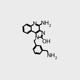 NCc1cccc(Cn2c(O)nc3c(N)nc4ccccc4c32)c1